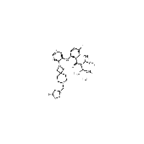 CC(C)N(C(=O)c1cc(F)ccc1Oc1cncnc1N1CC2(CCN(C[C@H]3CCNC3)CC2)C1)C(C)C.Cl